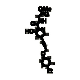 CCc1ccc(OCC#Cc2cnc(C(=O)NCC(=O)OC)c(O)c2)cc1